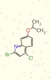 CC(C)Oc1ccc2c(Cl)cc(Br)nc2c1